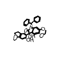 O=C1N(C(c2ccccc2)c2ccccc2)c2cc3c(cc2C1(O)c1cc2c(cc1O)OCC2)OCCO3